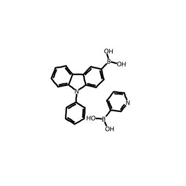 OB(O)c1ccc2c(c1)c1ccccc1n2-c1ccccc1.OB(O)c1cccnc1